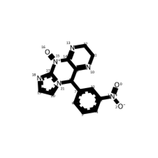 O=[N+]([O-])c1cccc(C2C3=NCCN=C3[N+](=O)c3nccn32)c1